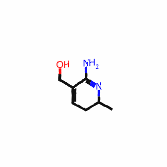 CC1CC=C(CO)C(N)=N1